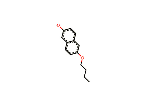 CCCCOc1ccc2cc([O])ccc2c1